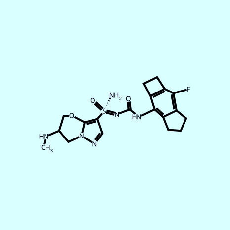 CNC1COc2c([S@@](N)(=O)=NC(=O)Nc3c4c(c(F)c5c3CC5)CCC4)cnn2C1